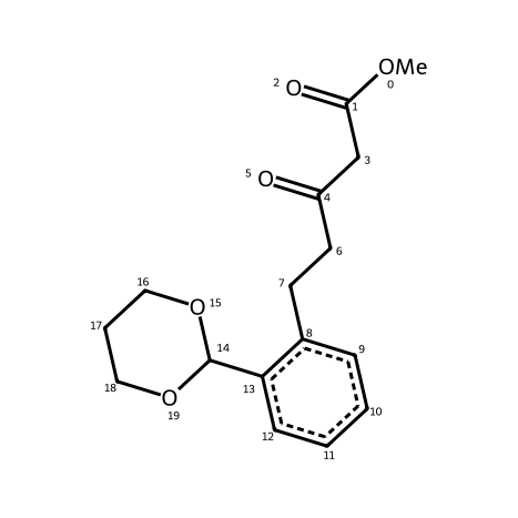 COC(=O)CC(=O)CCc1ccccc1C1OCCCO1